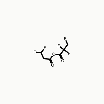 O=C(CC(F)F)OC(=O)C(F)(F)CF